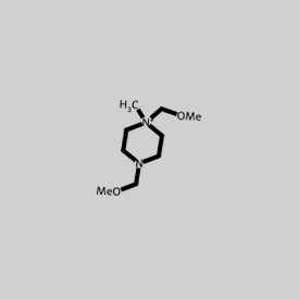 COCN1CC[N+](C)(COC)CC1